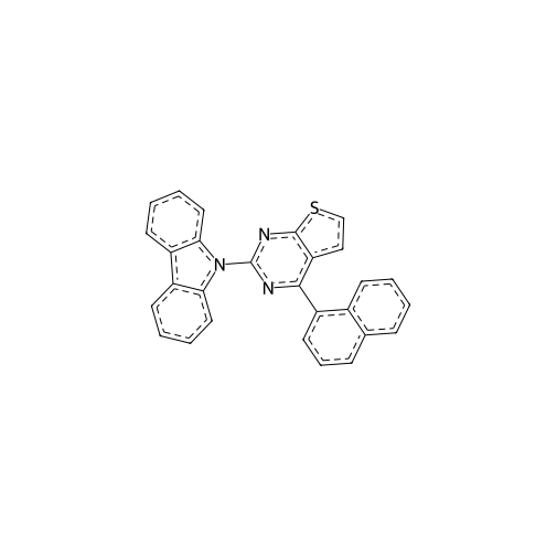 c1ccc2c(-c3nc(-n4c5ccccc5c5ccccc54)nc4sccc34)cccc2c1